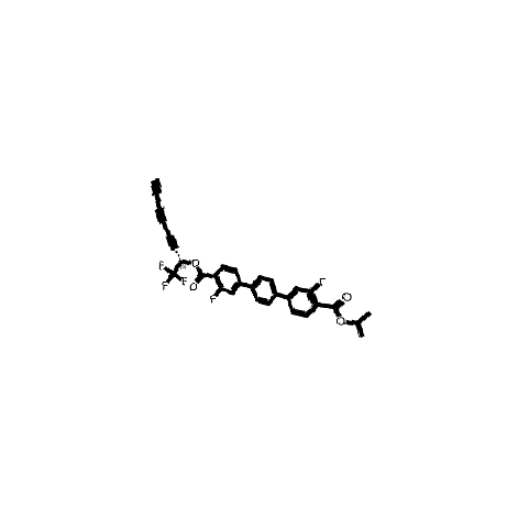 C#CC#CC#C[C@H](OC(=O)c1ccc(-c2ccc(-c3ccc(C(=O)OC(C)C)c(F)c3)cc2)cc1F)C(F)(F)F